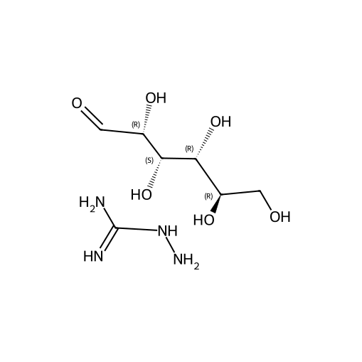 N=C(N)NN.O=C[C@H](O)[C@@H](O)[C@H](O)[C@H](O)CO